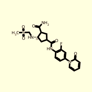 CS(=O)(=O)CN[C@H]1CC(C(=O)Nc2ccc(-n3ccccc3=O)cc2F)CC1C(N)=O